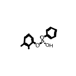 Cc1cccc(OP(O)Oc2ccccc2)c1C